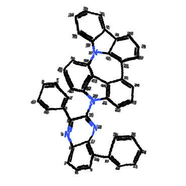 c1ccc(-c2nc3cccc(-c4ccccc4)c3nc2-n2c3cccc4c5cccc6c7ccccc7n(c7cccc2c7c43)c56)cc1